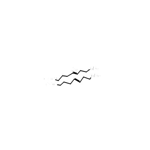 CCCCCCCCCCCCC=CCCCC(=O)[O-].CCCCCCCCCCCCC=CCCCC(=O)[O-].[Zn+2]